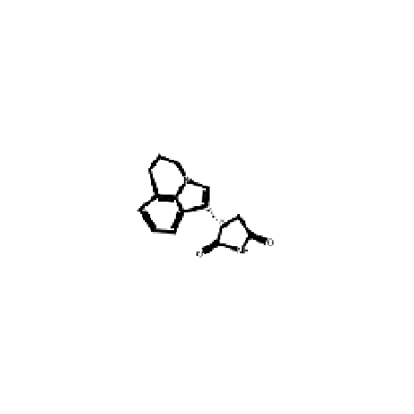 O=C1C[C@@H](c2cn3c4c(cccc24)CCC3)C(=O)N1